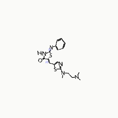 CN(C)CCN(C)c1ncc(/C=C2\S/C(=N\c3ccccc3)NC2=O)s1